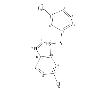 FC(F)(F)c1cccc(C[SH]2C=Nc3ccc(Cl)cc32)c1